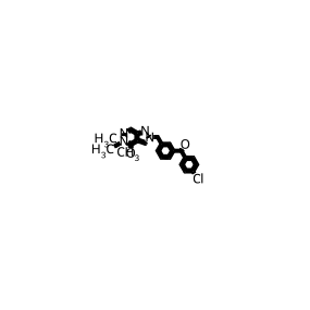 CC(C)(C)n1ncc2nn(Cc3cccc(C(=O)c4ccc(Cl)cc4)c3)cc2c1=O